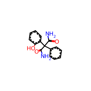 NC(=O)C(C(N)=O)(c1ccccc1)c1ccccc1O